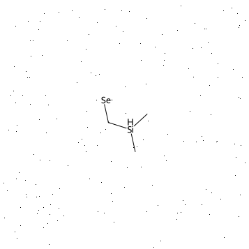 C[SiH](C)C[Se]